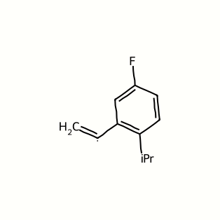 C=[C]c1cc(F)ccc1C(C)C